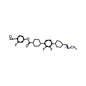 C/C=C/C1CCC(c2ccc(C3CCC(C(=O)Oc4ccc(C5CO5)c(F)c4)CC3)c(F)c2F)CC1